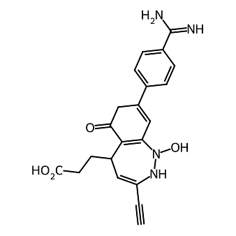 C#CC1=CC(CCC(=O)O)C2=C(C=C(c3ccc(C(=N)N)cc3)CC2=O)N(O)N1